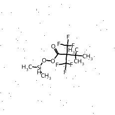 C[SiH](C)OOC(=O)C(C(C)(C)C)(C(F)(F)F)C(F)(F)F